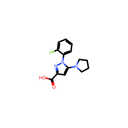 O=C(O)c1cc(N2CCCC2)n(-c2ccccc2F)n1